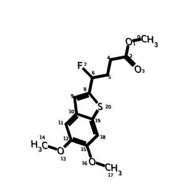 COC(=O)CCC(F)c1cc2cc(OC)c(OC)cc2s1